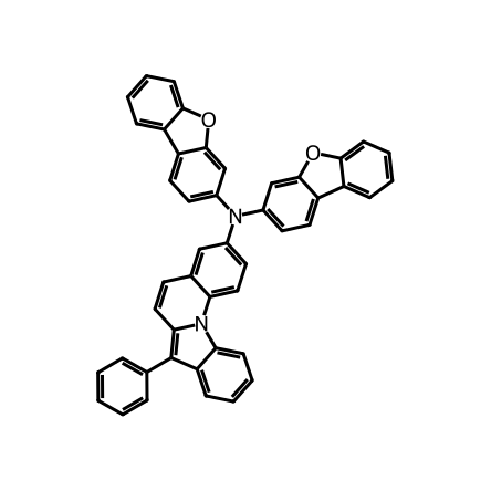 c1ccc(-c2c3ccccc3n3c2ccc2cc(N(c4ccc5c(c4)oc4ccccc45)c4ccc5c(c4)oc4ccccc45)ccc23)cc1